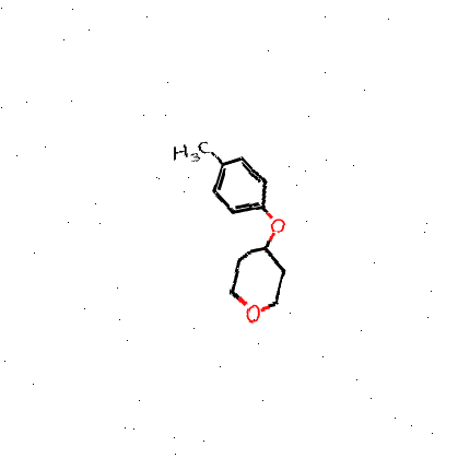 Cc1ccc(OC2CCOCC2)cc1